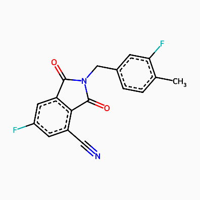 Cc1ccc(CN2C(=O)c3cc(F)cc(C#N)c3C2=O)cc1F